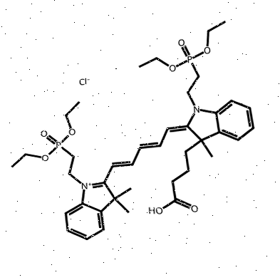 CCOP(=O)(CCN1/C(=C/C=C/C=C/C2=[N+](CCP(=O)(OCC)OCC)c3ccccc3C2(C)C)C(C)(CCCC(=O)O)c2ccccc21)OCC.[Cl-]